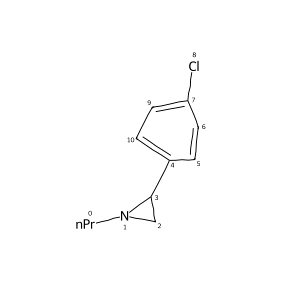 CCCN1CC1c1ccc(Cl)cc1